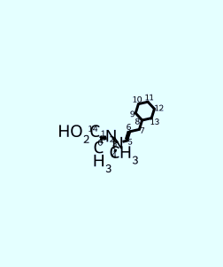 CC(=NN(C)C=CCC1CCCCC1)C(=O)O